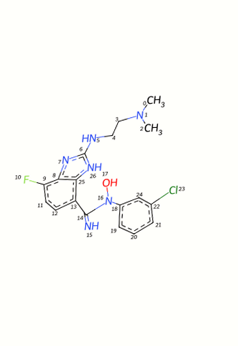 CN(C)CCNc1nc2c(F)ccc(C(=N)N(O)c3cccc(Cl)c3)c2[nH]1